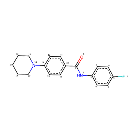 O=C(Nc1ccc(F)cc1)c1ccc(N2CCCCC2)cc1